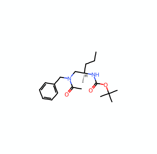 CCC[C@](C)(CN(Cc1ccccc1)C(C)=O)NC(=O)OC(C)(C)C